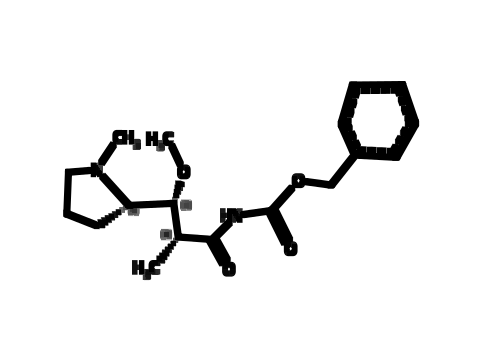 CO[C@H]([C@@H](C)C(=O)NC(=O)OCc1ccccc1)[C@@H]1CCCN1C